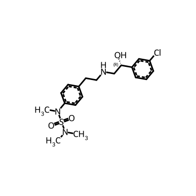 CN(C)S(=O)(=O)N(C)c1ccc(CCNC[C@H](O)c2cccc(Cl)c2)cc1